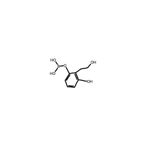 OCCc1c(O)cccc1OB(O)O